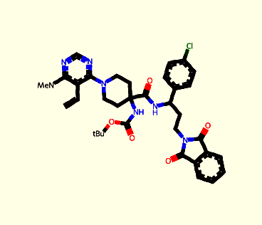 C=Cc1c(NC)ncnc1N1CCC(NC(=O)OC(C)(C)C)(C(=O)NC(CCN2C(=O)c3ccccc3C2=O)c2ccc(Cl)cc2)CC1